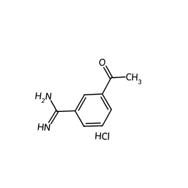 CC(=O)c1cccc(C(=N)N)c1.Cl